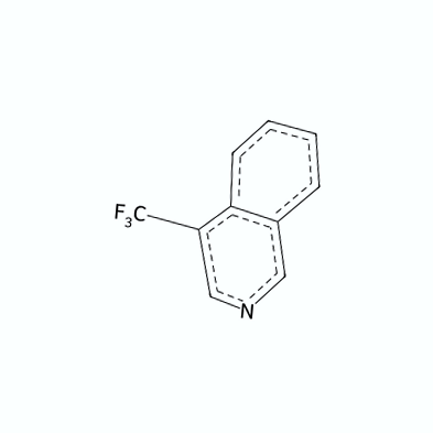 FC(F)(F)c1cncc2ccccc12